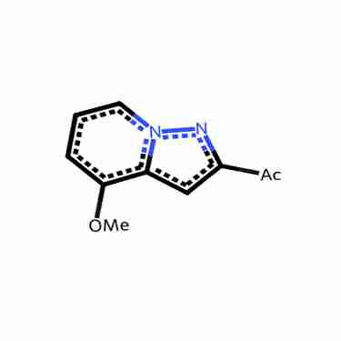 COc1cccn2nc(C(C)=O)cc12